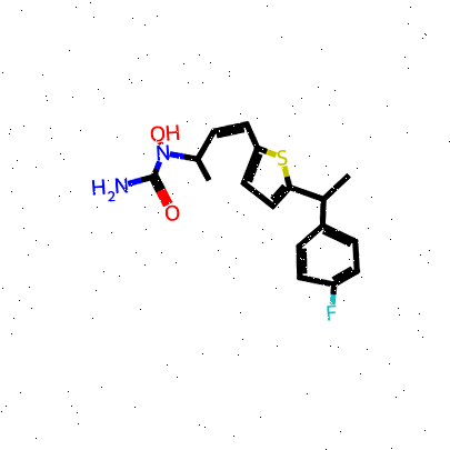 CC(c1ccc(F)cc1)c1ccc(/C=C\C(C)N(O)C(N)=O)s1